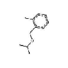 Cc1c[c]ccc1COC(C)C